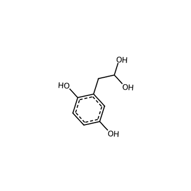 Oc1ccc(O)c(CC(O)O)c1